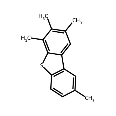 Cc1ccc2sc3c(C)c(C)c(C)cc3c2c1